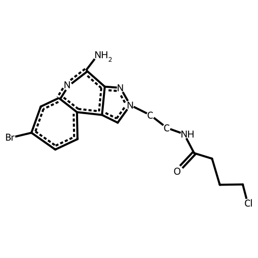 Nc1nc2cc(Br)ccc2c2cn(CCNC(=O)CCCCl)nc12